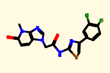 Cn1c(=O)ccc2c1ncn2CC(=O)Nc1nc(-c2ccc(Cl)c(Cl)c2)cs1